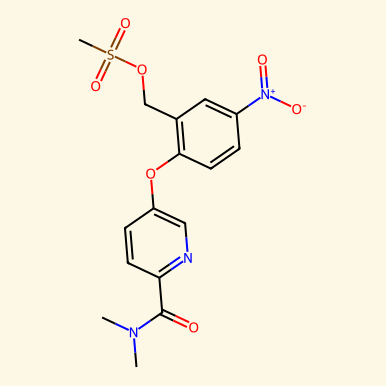 CN(C)C(=O)c1ccc(Oc2ccc([N+](=O)[O-])cc2COS(C)(=O)=O)cn1